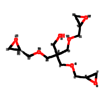 OCC(COCC1CO1)(COCC1CO1)COC[C@@H]1CO1